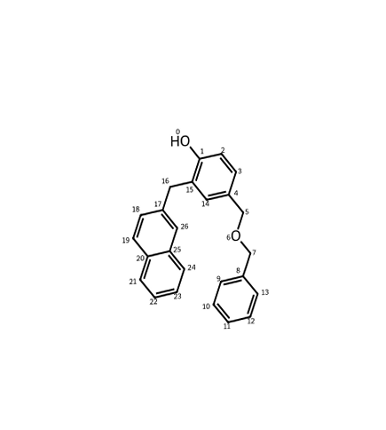 Oc1ccc(COCc2ccccc2)cc1Cc1ccc2ccccc2c1